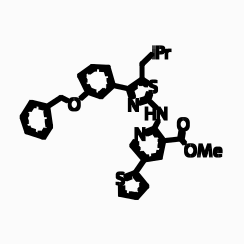 COC(=O)c1cc(-c2cccs2)cnc1Nc1nc(-c2cccc(OCc3ccccc3)c2)c(CC(C)C)s1